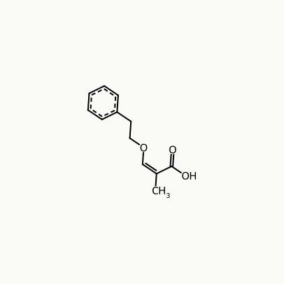 CC(=COCCc1ccccc1)C(=O)O